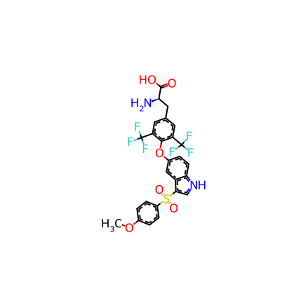 COc1ccc(S(=O)(=O)c2c[nH]c3ccc(Oc4c(C(F)(F)F)cc(C[C@@H](N)C(=O)O)cc4C(F)(F)F)cc23)cc1